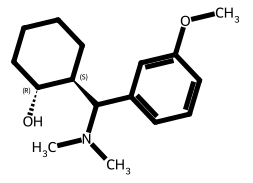 COc1cccc(C([C@@H]2CCCC[C@H]2O)N(C)C)c1